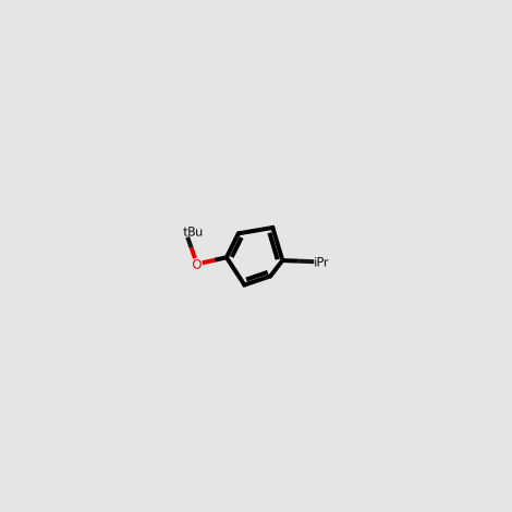 CC(C)c1ccc(OC(C)(C)C)cc1